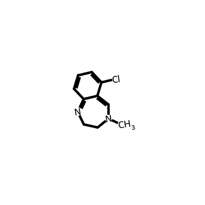 CN1C=c2c(Cl)cccc2=NCC1